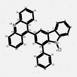 Cln1c2ccccc2c2cc(-c3c4ccccc4nc4ccccc34)cc(-c3ccccc3)c21